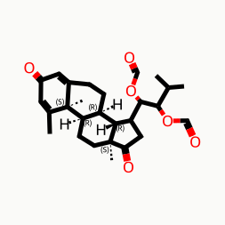 CC1=CC(=O)C=C2CC[C@@H]3[C@@H](CC[C@]4(C)C(=O)CC(C(OC=O)C(OC=O)C(C)C)[C@@H]34)[C@@]12C